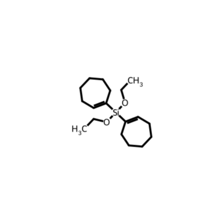 CCO[Si](OCC)(C1=CCCCCC1)C1=CCCCCC1